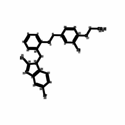 CCc1cc(COc2ccccc2Cn2c(CC)nc3cc(Br)ccc32)ccc1OCC(=O)O